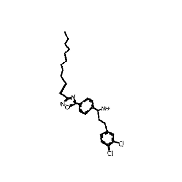 CCCCCCCCCCCc1noc(-c2ccc(C([NH])CCc3ccc(Cl)c(Cl)c3)cc2)n1